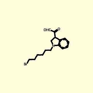 O=CC(=O)C1CN(CCCCCCBr)c2ccccc21